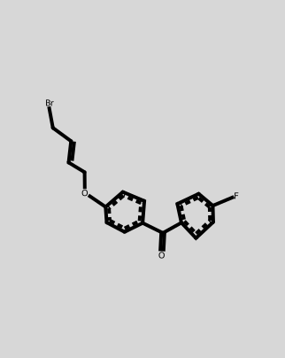 O=C(c1ccc(F)cc1)c1ccc(OCC=CCBr)cc1